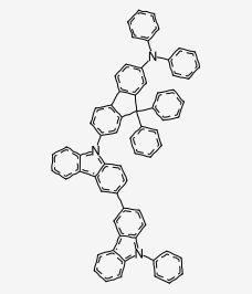 c1ccc(N(c2ccccc2)c2ccc3c(c2)C(c2ccccc2)(c2ccccc2)c2cc(-n4c5ccccc5c5cc(-c6ccc7c(c6)c6ccccc6n7-c6ccccc6)ccc54)ccc2-3)cc1